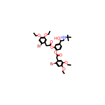 CCOc1cc(Br)c(CC(=O)Oc2ccc(C(O)CNC(C)(C)C)cc2OC(=O)Cc2cc(OCC)c(OCC)cc2Br)cc1OCC